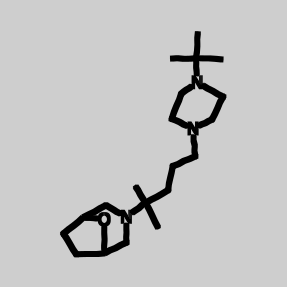 CC(C)(C)N1CCN(CCCC(C)(C)N2CC3CCC(C2)O3)CC1